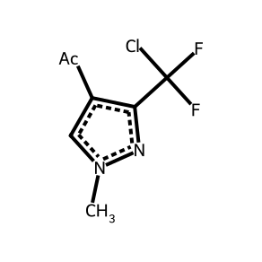 CC(=O)c1cn(C)nc1C(F)(F)Cl